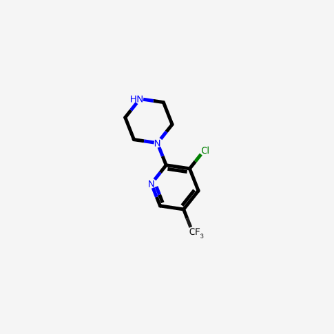 FC(F)(F)c1cnc(N2CCNCC2)c(Cl)c1